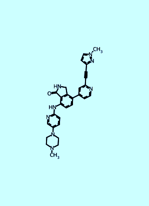 CN1CCN(c2ccc(Nc3ccc(-c4ccnc(C#Cc5ccn(C)n5)c4)c4c3C(=O)NC4)nc2)CC1